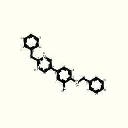 Fc1cc(-c2cnc(Cc3ccccc3)nc2)ccc1OCc1ccccc1